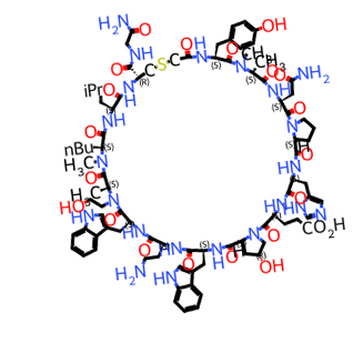 CCCC[C@H]1C(=O)N[C@@H](CC(C)C)C(=O)N[C@H](C(=O)NCC(N)=O)CSCC(=O)N[C@@H](Cc2ccc(O)cc2)C(=O)N(C)[C@@H](C)C(=O)N[C@@H](CC(N)=O)C(=O)N2CCC[C@H]2C(=O)N[C@@H](Cc2cnc[nH]2)C(=O)N[C@@H](CCC(=O)O)C(=O)N2C[C@H](O)C[C@H]2C(=O)N[C@@H](Cc2c[nH]c3ccccc23)C(=O)N[C@@H](CCN)C(=O)N[C@@H](Cc2c[nH]c3ccccc23)C(=O)N(CCO)[C@@H](C)C(=O)N1C